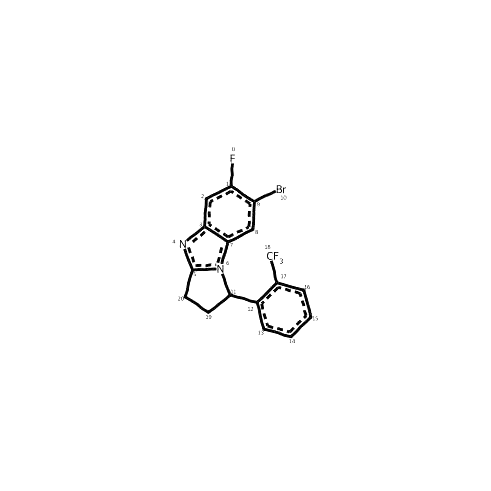 Fc1cc2nc3n(c2cc1Br)C(c1ccccc1C(F)(F)F)CC3